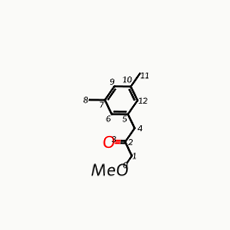 COCC(=O)Cc1cc(C)cc(C)c1